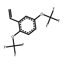 C=Cc1cc(OC(F)(F)F)ccc1OC(F)(F)F